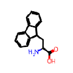 N[C@@H](CC1c2ccccc2-c2ccccc21)C(=O)O